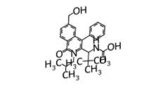 CC(C)Cn1c(C(NC(=O)O)C(C)(C)C)c(-c2ccccc2)c2cc(CO)ccc2c1=O